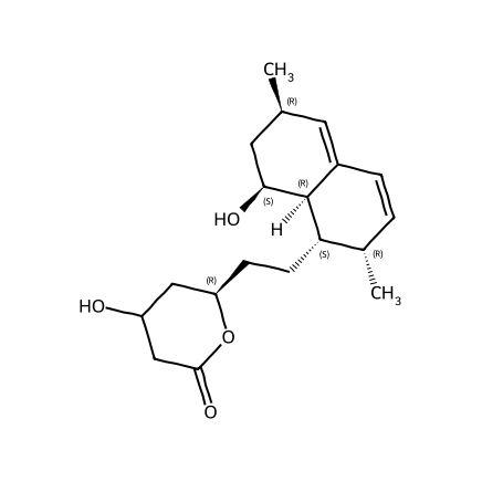 C[C@H]1C=C2C=C[C@H](C)[C@H](CC[C@@H]3CC(O)CC(=O)O3)[C@H]2[C@@H](O)C1